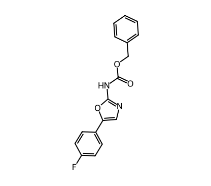 O=C(Nc1ncc(-c2ccc(F)cc2)o1)OCc1ccccc1